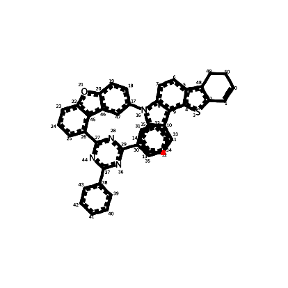 C1=Cc2sc3c(ccc4c3c3ccccc3n4-c3ccc4oc5cccc(-c6nc(-c7ccccc7)nc(-c7ccccc7)n6)c5c4c3)c2CC1